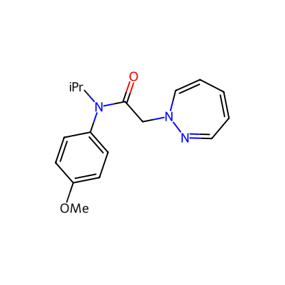 COc1ccc(N(C(=O)CN2C=CC=CC=N2)C(C)C)cc1